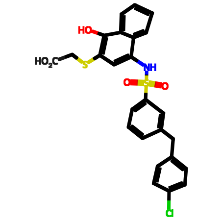 O=C(O)CSc1cc(NS(=O)(=O)c2cccc(Cc3ccc(Cl)cc3)c2)c2ccccc2c1O